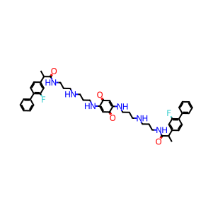 CC(C(=O)NCCCNCCCNC1=CC(=O)C(NCCCNCCCNC(=O)C(C)c2ccc(-c3ccccc3)c(F)c2)=CC1=O)c1ccc(-c2ccccc2)c(F)c1